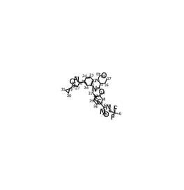 CC(F)(F)c1nc(C23CCC(CN(C(=O)C4CCOCC4)c4cccc(-c5cc(C6CC6)on5)c4)(CC2)CC3)no1